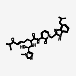 CC(C)Cc1cccc2[nH]c(Cn3cccc(NC(=O)[C@H](CC/C=C/C(=O)N(C)C)NC(O)c4cncn4C)c3=O)nc12